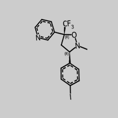 CN1O[C@](c2cccnc2)(C(F)(F)F)C[C@@H]1c1ccc(I)cc1